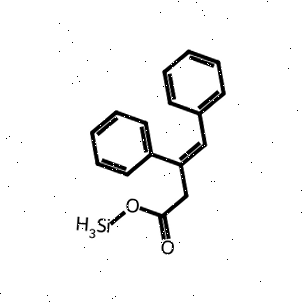 O=C(CC(=Cc1ccccc1)c1ccccc1)O[SiH3]